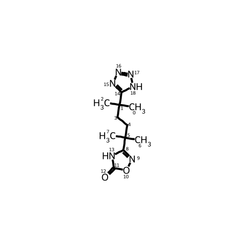 CC(C)(CCC(C)(C)c1noc(=O)[nH]1)c1nnn[nH]1